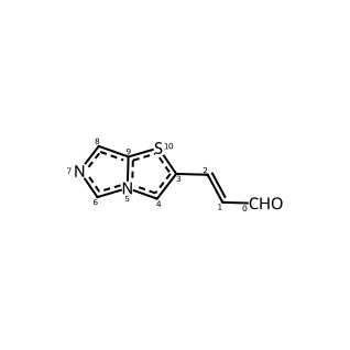 O=CC=Cc1cn2cncc2s1